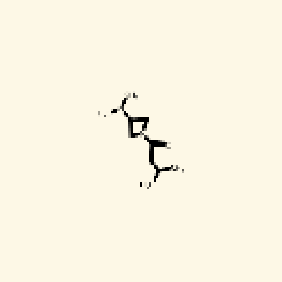 CC(C)CC(=O)N1CC(N(C)C)C1